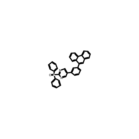 O=P(c1ccccc1)(c1ccccc1)c1ncc(-c2cccc(-c3cc4ccccc4c4ccccc34)c2)cn1